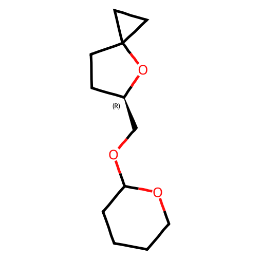 C1CCC(OC[C@H]2CCC3(CC3)O2)OC1